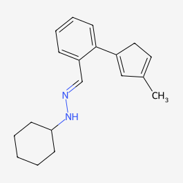 CC1=CCC(c2ccccc2C=NNC2CCCCC2)=C1